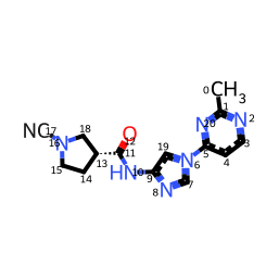 Cc1nccc(-n2cnc(NC(=O)[C@@H]3CCN(C#N)C3)c2)n1